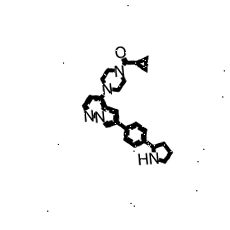 O=C(C1CC1)N1CCN(c2ccnn3cc(-c4ccc(C5CCCN5)cc4)cc23)CC1